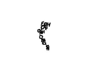 O=C(NC[C@H]1CC[C@H](n2cc3ccc(-c4ccns4)cc3n2)CC1)c1cc(F)c(O)c(F)c1